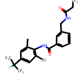 CCc1cc(C(F)(C(F)(F)F)C(F)(F)F)cc(C)c1NC(=O)c1cccc(CNC(=O)CC(F)(F)F)c1